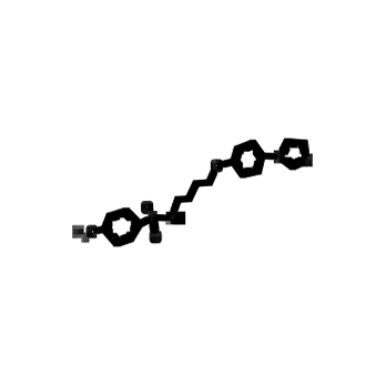 Cc1ccc(S(=O)(=O)NCCCCOc2ccc(-n3ccnc3)cc2)cc1